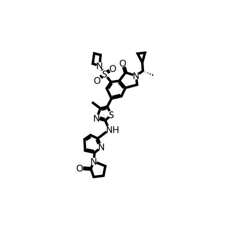 Cc1nc(Nc2cccc(N3CCCC3=O)n2)sc1-c1cc2c(c(S(=O)(=O)N3CCC3)c1)C(=O)N([C@@H](C)C1CC1)C2